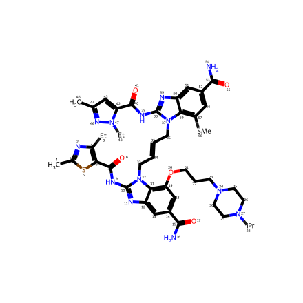 CCc1nc(C)sc1C(=O)Nc1nc2cc(C(N)=O)cc(OCCCN3CCN(C(C)C)CC3)c2n1C/C=C/Cn1c(NC(=O)c2cc(C)nn2CC)nc2cc(C(N)=O)cc(SC)c21